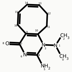 CN(C)n1c(N)nc(=O)c2c1CC/C=C\C=C/2